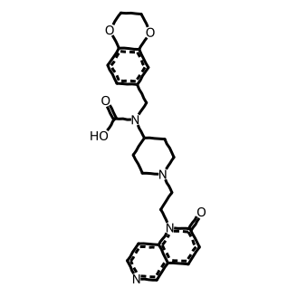 O=C(O)N(Cc1ccc2c(c1)OCCO2)C1CCN(CCn2c(=O)ccc3cnccc32)CC1